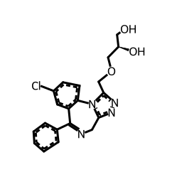 OC[C@@H](O)COCc1nnc2n1-c1ccc(Cl)cc1C(c1ccccc1)=NC2